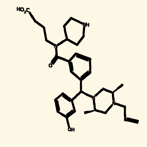 C=CCN1C[C@@H](C)N(C(c2cccc(O)c2)c2cccc(C(=O)N(CCCC(=O)O)C3CCNCC3)c2)C[C@H]1C